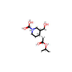 CC(C)OC(=O)C[C@@H]1CCN(C(=O)O)CC1CO